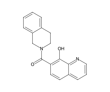 O=C(c1ccc2cccnc2c1O)N1CCc2ccccc2C1